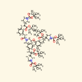 CC(C)(C)OC(=O)[C@H](Cc1cccc(CC(=O)N(CCOc2cccc(C[C@@H](C(=O)OC(C)(C)C)[C@H]3CCN(C(=O)OC(C)(C)C)C3)c2)Cc2cccc(C[C@@H](C(=O)OC(C)(C)C)[C@H]3CCN(C(=O)OC(C)(C)C)C3)c2)c1)[C@H]1CCN(C(=O)OC(C)(C)C)C1